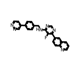 Fc1c(NCc2ccc(-c3ccnnc3)cc2)ncnc1-c1ccc2ncccc2c1